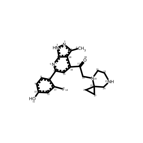 Cc1n[nH]c2nc(-c3ccc(O)cc3F)cc(C(=O)CN3CCNCC34CC4)c12